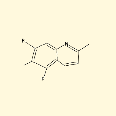 Cc1ccc2c(F)c(C)c(F)cc2n1